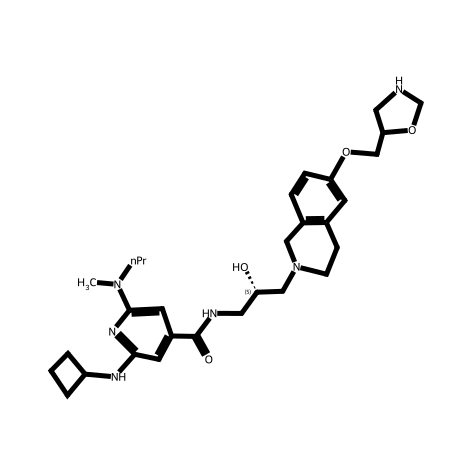 CCCN(C)c1cc(C(=O)NC[C@H](O)CN2CCc3cc(OCC4CNCO4)ccc3C2)cc(NC2CCC2)n1